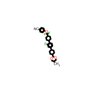 CC1COC(C2CCC(c3ccc(C4CCC(C(F)(F)Oc5ccc(C#N)cc5)CC4)c(F)c3)CC2)OC1